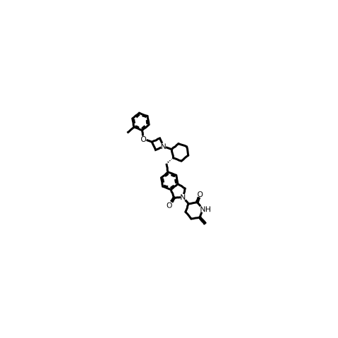 C=C1CCC(N2Cc3cc(C[C@H]4CCCCC4N4CC(Oc5ccccc5C)C4)ccc3C2=O)C(=O)N1